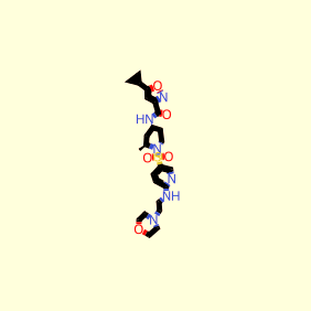 C[C@H]1C[C@H](NC(=O)c2cc(C3CC3)on2)CCN1S(=O)(=O)c1ccc(NCCN2CCOCC2)nc1